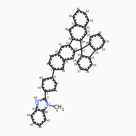 Cn1c(-c2ccc(-c3ccc4cc5c(cc4c3)C3(c4ccccc4-c4ccccc43)c3cc4ccccc4cc3-5)cc2)nc2ccccc21